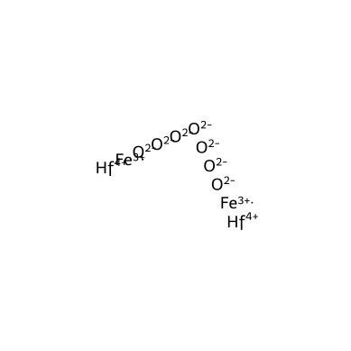 [Fe+3].[Fe+3].[Hf+4].[Hf+4].[O-2].[O-2].[O-2].[O-2].[O-2].[O-2].[O-2]